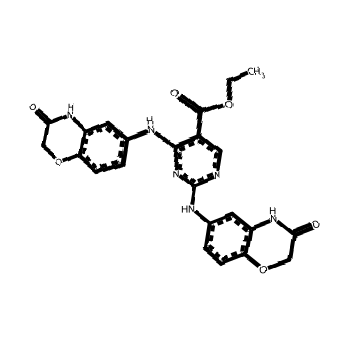 CCOC(=O)c1cnc(Nc2ccc3c(c2)NC(=O)CO3)nc1Nc1ccc2c(c1)NC(=O)CO2